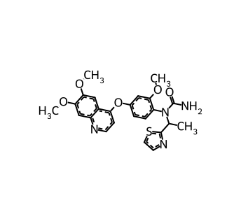 COc1cc2nccc(Oc3ccc(N(C(N)=O)C(C)c4nccs4)c(OC)c3)c2cc1OC